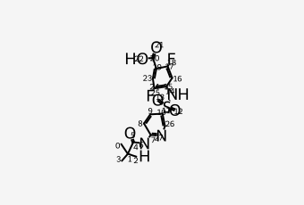 CC(C)(C)C(=O)Nc1ccc(S(=O)(=O)Nc2cc(F)c(C(=O)O)cc2F)cn1